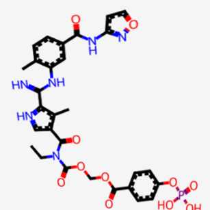 CCN(C(=O)OCOC(=O)c1ccc(OP(=O)(O)O)cc1)C(=O)c1c[nH]c(C(=N)Nc2cc(C(=O)Nc3ccon3)ccc2C)c1C